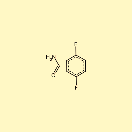 Fc1ccc(F)cc1.NC=O